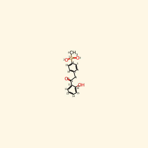 CS(=O)(=O)c1ccc(CC(=O)c2c[c]ccc2O)cc1